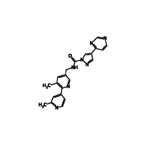 Cc1cc(-c2ncc(CNC(=O)n3cc(-c4ccncn4)cn3)cc2C)ccn1